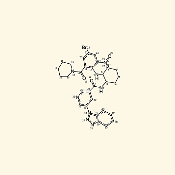 O=C(NC1CCCCC1Nc1c(C(=O)N2CCCCC2)cc(Br)cc1[N+](=O)[O-])c1cncc(-n2nnc3ccccc32)c1